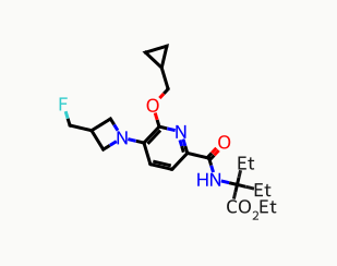 CCOC(=O)C(CC)(CC)NC(=O)c1ccc(N2CC(CF)C2)c(OCC2CC2)n1